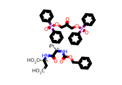 CC(C)[C@H](NC(=O)OCc1ccccc1)C(=O)N[C@H](CC(=O)O)C(=O)O.O=C(COP(=O)(c1ccccc1)c1ccccc1)COP(=O)(c1ccccc1)c1ccccc1